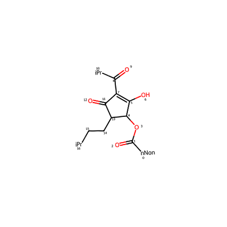 CCCCCCCCCC(=O)OC1C(O)=C(C(=O)C(C)C)C(=O)C1CCC(C)C